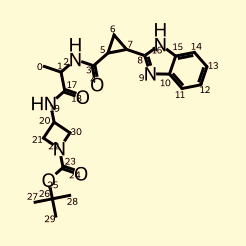 CC(NC(=O)C1CC1c1nc2ccccc2[nH]1)C(=O)NC1CN(C(=O)OC(C)(C)C)C1